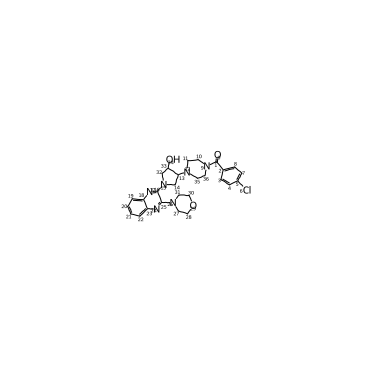 O=C(c1ccc(Cl)cc1)N1CCN(C2CN(c3nc4ccccc4nc3N3CCOCC3)CC2O)CC1